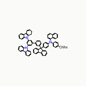 COc1ccc(N(c2ccc(C3(c4cccc(-c5cc(-n6c7c(c8ccccc86)C=CCC7)cc(-n6c7ccccc7c7ccccc76)c5)c4)c4ccccc4-c4ccccc43)cc2)c2cccc3ccccc23)cc1